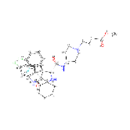 CC(C)(C)OC(=O)CCCN1CCC(NC(=O)[C@@H]2NC3(CCCCC3)[C@@]3(C(=O)Nc4cc(Cl)ccc43)[C@H]2c2cccc(Cl)c2F)CC1